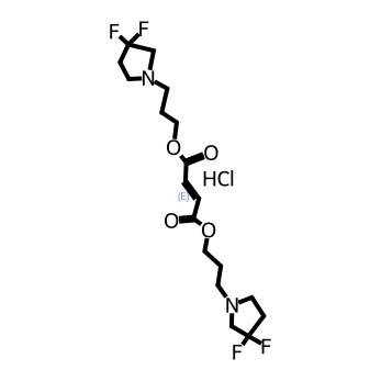 Cl.O=C(/C=C/C(=O)OCCCN1CCC(F)(F)C1)OCCCN1CCC(F)(F)C1